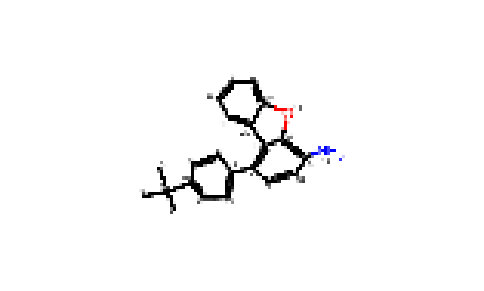 CC(C)(C)c1ccc(-c2ccc(N)c3oc4ccccc4c23)cc1